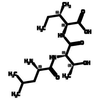 CC[C@H](C)[C@H](NC(=O)[C@@H](NC(=O)[C@@H](N)CC(C)C)[C@@H](C)O)C(=O)O